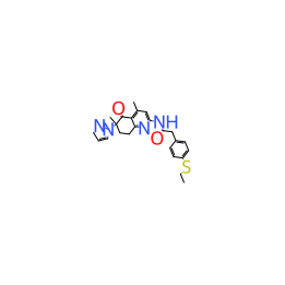 CCSc1ccc(CC(=O)Nc2cc(C)c3c(n2)CCC(C)(n2cccn2)C3=O)cc1